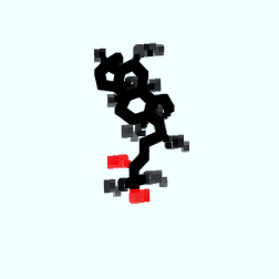 CO[C@@H]1C[C@H]2[C@@H]3CC[C@H]([C@H](C)CC[C@@H](O)C(C)(C)O)[C@@]3(C)CC[C@@H]2[C@@]2(C)CC[C@H]3C[C@]312